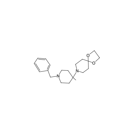 CC1(N2CCC3(CC2)OCCO3)CCN(Cc2ccccc2)CC1